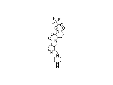 O=C1CCC(N2Cc3c(ccnc3CN3CCNCC3)C2=O)C(=O)N1OC(=O)C(F)(F)F